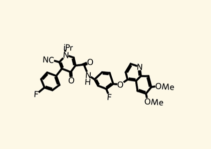 COc1cc2nccc(Oc3ccc(NC(=O)c4cn(C(C)C)c(C#N)c(-c5ccc(F)cc5)c4=O)cc3F)c2cc1OC